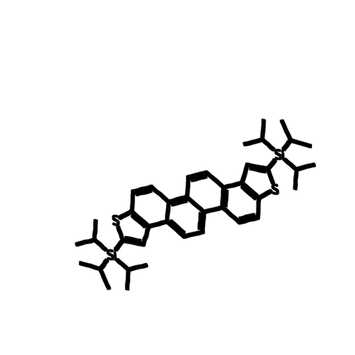 CC(C)[Si](c1cc2c(ccc3c2ccc2c4ccc5sc([Si](C(C)C)(C(C)C)C(C)C)cc5c4ccc32)s1)(C(C)C)C(C)C